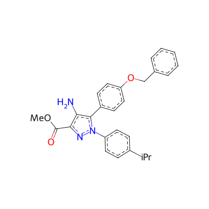 COC(=O)c1nn(-c2ccc(C(C)C)cc2)c(-c2ccc(OCc3ccccc3)cc2)c1N